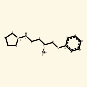 [NH][C@H](CCNN1CCCC1)CSc1ccccc1